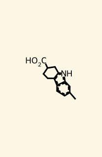 Cc1ccc2c3c([nH]c2c1)CC(C(=O)O)CC3